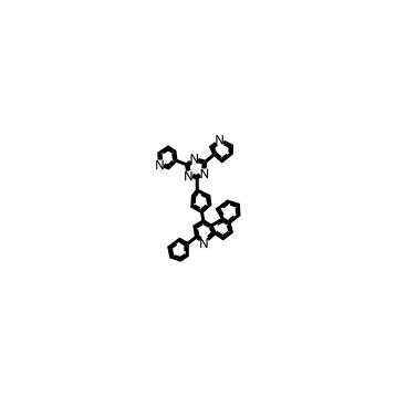 c1ccc(-c2cc(-c3ccc(-c4nc(-c5cccnc5)nc(-c5cccnc5)n4)cc3)c3c(ccc4ccccc43)n2)cc1